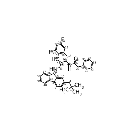 CC(C)(C)Cc1ccc2c(c1)C(NC[C@@H](O)[C@H](Cc1cc(F)cc(F)c1)NC(=O)Cc1ccccc1)c1ccccc1-2